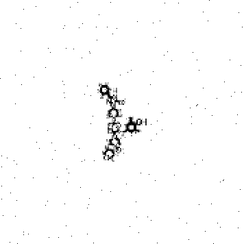 Cc1cc(C[C@@H](OC(=O)N2CCC(n3nc(-c4ccccc4)[nH]c3=O)CC2)C(=O)N2CC[N+]([O-])(C3CCOCC3)CC2)cc(C)c1O